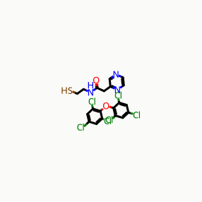 Clc1cc(Cl)c(Oc2c(Cl)cc(Cl)cc2Cl)c(Cl)c1.O=C(Cc1cnccn1)NCCS